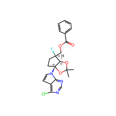 CC1(C)O[C@@H]2[C@@](F)(COC(=O)c3ccccc3)CC[C@@]2(n2ccc3c(Cl)ncnc32)O1